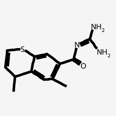 Cc1cc2c(cc1C(=O)N=C(N)N)SC=CC2C